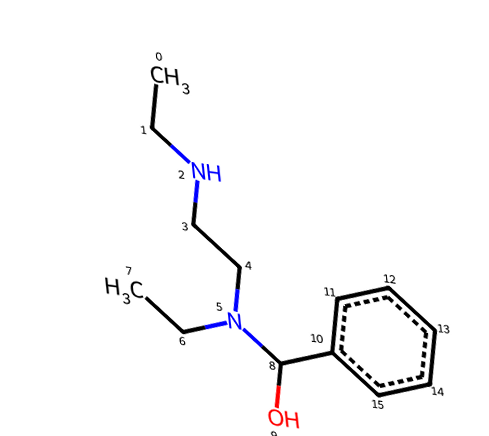 CCNCCN(CC)C(O)c1ccccc1